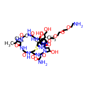 CCC(C)C1NC(=O)CNC(=O)C2Cc3c([nH]c4cc(OCCOCCOCCOCCN)ccc34)SCC(NC(=O)CNC1=O)C(=O)N[C@@H](CC(N)=O)C(=O)N1CC(O)CC1C(=O)N[C@@H]([C@@H](C)[C@@H](O)CO)C(=O)N2